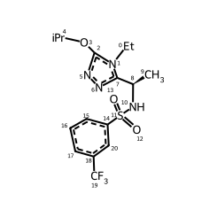 CCn1c(OC(C)C)nnc1[C@@H](C)NS(=O)(=O)c1cccc(C(F)(F)F)c1